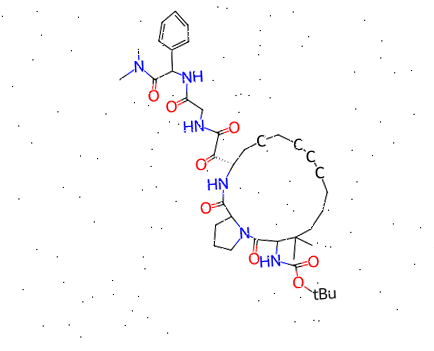 CN(C)C(=O)C(NC(=O)CNC(=O)C(=O)[C@@H]1CCCCCCCCCC(C)(C)C(NC(=O)OC(C)(C)C)C(=O)N2CCCC2C(=O)N1)c1ccccc1